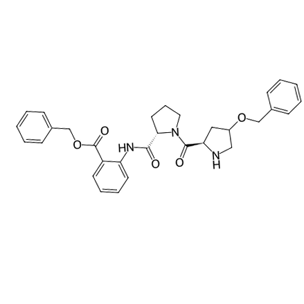 O=C(OCc1ccccc1)c1ccccc1NC(=O)[C@@H]1CCCN1C(=O)[C@H]1CC(OCc2ccccc2)CN1